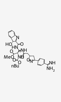 CCCCOC(=O)NC(C(=O)OC)[C@H](NC(=O)CC1CC(c2ccc(C(=N)N)cc2)=NO1)NC(=O)C1=Nc2ccccc2C1O